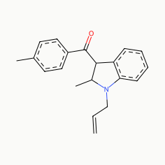 C=CCN1c2ccccc2C(C(=O)c2ccc(C)cc2)C1C